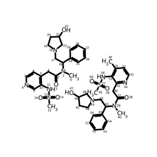 CN(C(=O)Cc1ccncc1NS(C)(=O)=O)C(CN1CCC(O)C1)c1ccccc1.Cc1ccnc(CC(=O)N(C)C(CN2CCC(O)C2)c2ccccc2)c1NS(C)(=O)=O